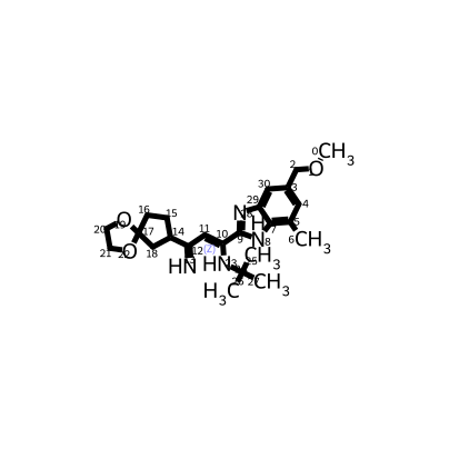 COCc1cc(C)c2[nH]c(/C(=C/C(=N)C3CCC4(C3)OCCO4)NC(C)(C)C)nc2c1